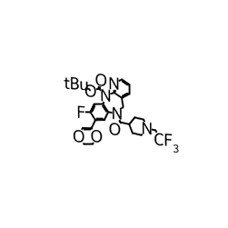 CC(C)(C)OC(=O)N1c2cc(F)c(C3=COCCO3)cc2N(C(=O)C2CCN(CC(F)(F)F)CC2)Cc2cccnc21